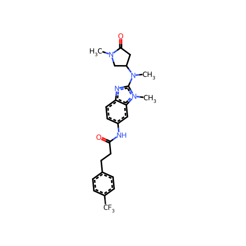 CN1CC(N(C)c2nc3ccc(NC(=O)CCc4ccc(C(F)(F)F)cc4)cc3n2C)CC1=O